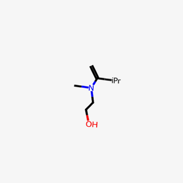 C=C(C(C)C)N(C)CCO